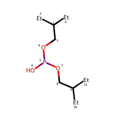 CCC(CC)COP(O)OCC(CC)CC